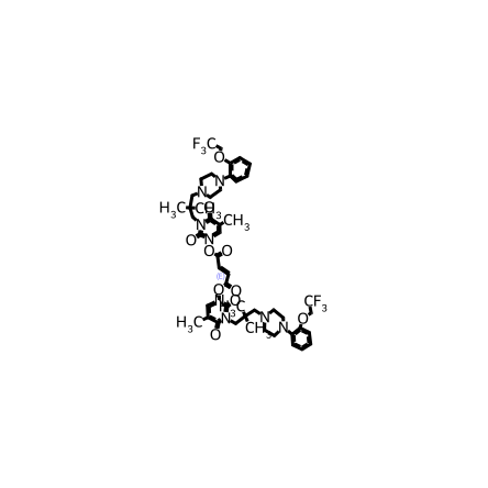 Cc1cn(OC(=O)/C=C/C(=O)On2cc(C)c(=O)n(CC(C)(C)CN3CCN(c4ccccc4OCC(F)(F)F)CC3)c2=O)c(=O)n(CC(C)(C)CN2CCN(c3ccccc3OCC(F)(F)F)CC2)c1=O